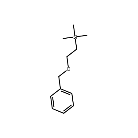 C[Si](C)(C)CCOCc1ccccc1